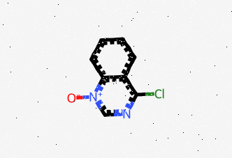 [O-][n+]1cnc(Cl)c2ccccc21